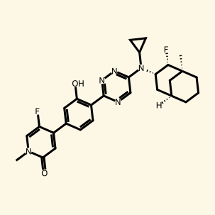 Cn1cc(F)c(-c2ccc(-c3ncc(N(C4CC4)[C@H]4C[C@@H]5CCC[C@@](C)(C5)[C@H]4F)nn3)c(O)c2)cc1=O